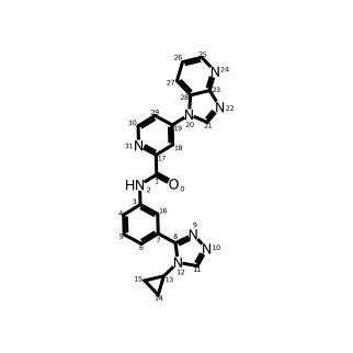 O=C(Nc1cccc(-c2nncn2C2CC2)c1)c1cc(-n2cnc3ncccc32)ccn1